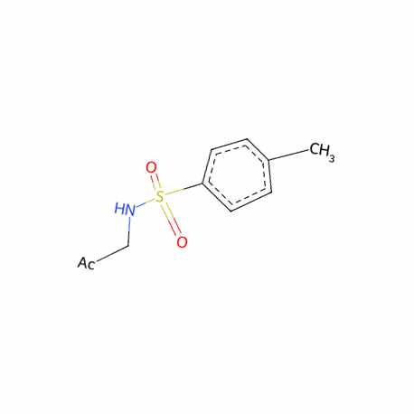 CC(=O)CNS(=O)(=O)c1ccc(C)cc1